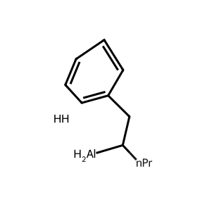 CCC[CH]([AlH2])Cc1ccccc1.[HH]